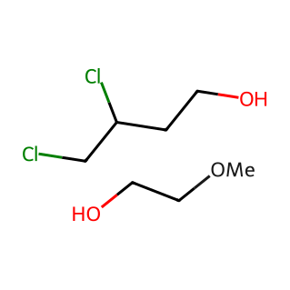 COCCO.OCCC(Cl)CCl